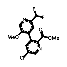 COC(=O)c1ncc(Cl)cc1-c1cc(C(F)F)ncc1OC